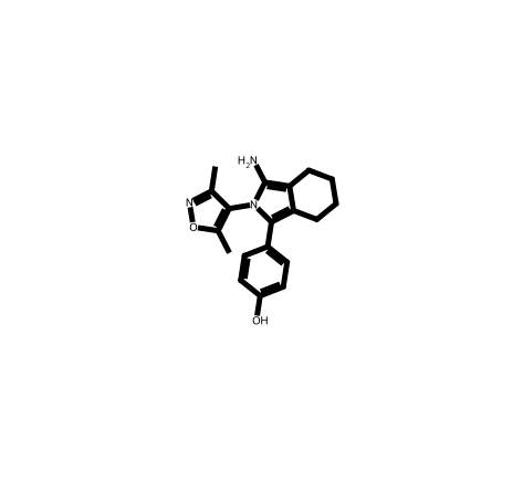 Cc1noc(C)c1-n1c(N)c2c(c1-c1ccc(O)cc1)CCCC2